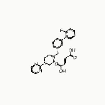 Fc1ccccc1-c1cccc(CN2CCN(c3ncccn3)CC2)c1.O=C(O)C=CC(=O)O